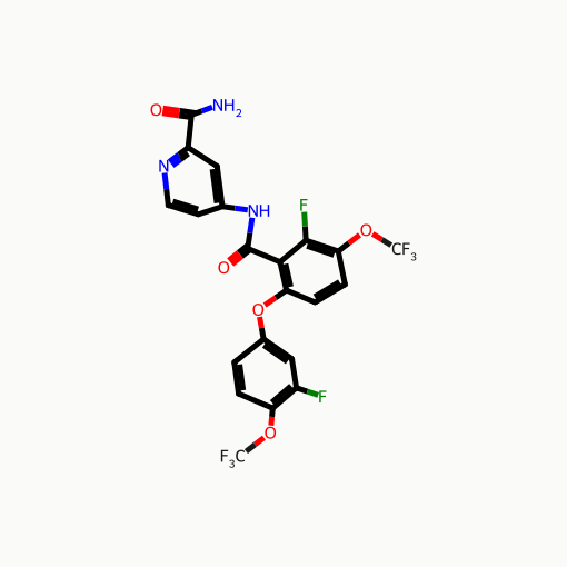 NC(=O)c1cc(NC(=O)c2c(Oc3ccc(OC(F)(F)F)c(F)c3)ccc(OC(F)(F)F)c2F)ccn1